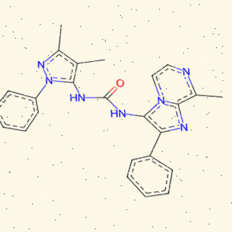 Cc1nn(-c2ccccc2)c(NC(=O)Nc2c(-c3ccccc3)nc3c(C)nccn23)c1C